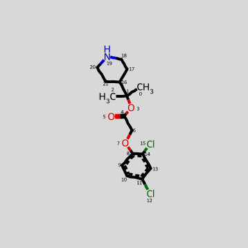 CC(C)(OC(=O)COc1ccc(Cl)cc1Cl)C1CCNCC1